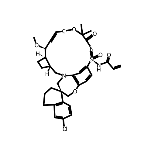 C=CC(=O)N[S@]1(=O)=NC(=O)C(C)(C)OCC=C[C@H](OC)[C@@H]2CC[C@H]2CN2C[C@@]3(CCCc4cc(Cl)ccc43)COc3ccc1cc32